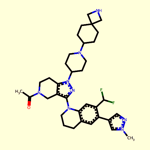 CC(=O)N1CCc2c(c(N3CCCc4cc(-c5cnn(C)c5)c(C(F)F)cc43)nn2C2CCN(C3CCC4(CC3)CNC4)CC2)C1